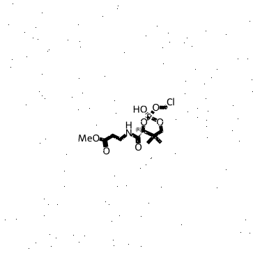 COC(=O)CCNC(=O)[C@@H]1O[P](O)(OCCl)OCC1(C)C